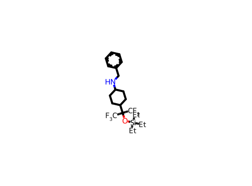 CC[Si](CC)(CC)OC(C1CCC(NCc2ccccc2)CC1)(C(F)(F)F)C(F)(F)F